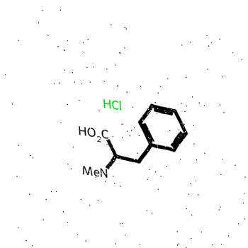 CNC(Cc1ccccc1)C(=O)O.Cl